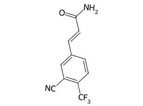 N#Cc1cc(/C=C/C(N)=O)ccc1C(F)(F)F